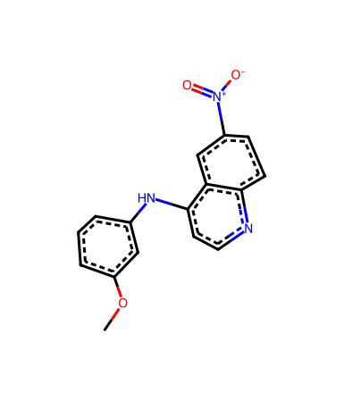 COc1cccc(Nc2ccnc3ccc([N+](=O)[O-])cc23)c1